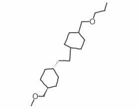 CCCOCC1CCC(CC[C@H]2CC[C@H](COC)CC2)CC1